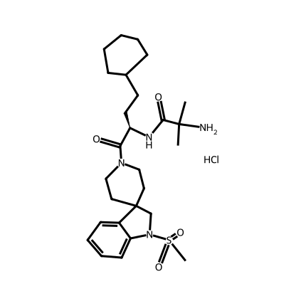 CC(C)(N)C(=O)N[C@H](CCC1CCCCC1)C(=O)N1CCC2(CC1)CN(S(C)(=O)=O)c1ccccc12.Cl